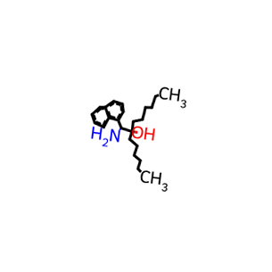 CCCCCCC(O)(CCCCCC)[C@H](N)c1cccc2ccccc12